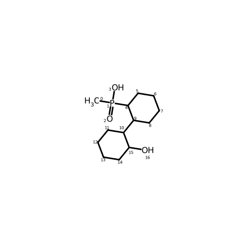 CP(=O)(O)C1CCCCC1C1CCCCC1O